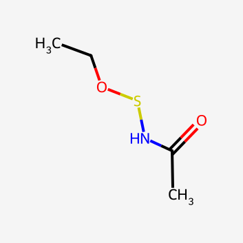 CCOSNC(C)=O